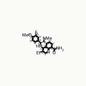 CCc1cnc2c(C(N)=O)cccc2c1N[C@H](CNC)c1ccc(OC)c(F)c1